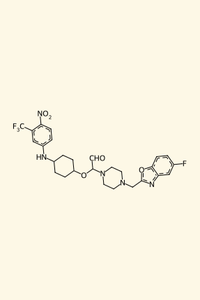 O=CC(OC1CCC(Nc2ccc([N+](=O)[O-])c(C(F)(F)F)c2)CC1)N1CCN(Cc2nc3cc(F)ccc3o2)CC1